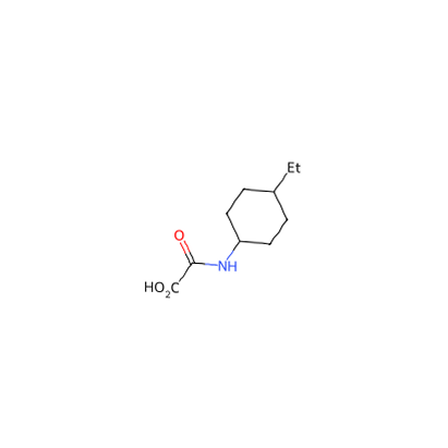 CCC1CCC(NC(=O)C(=O)O)CC1